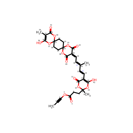 CC#COC(=O)CCC1(C)OC(=O)C(/C=C/C(C)=C/C=C2C(=O)OC3(CCC4(CC3)OC(=O)C(C)=C(O)O4)OC2=O)=C(O)O1